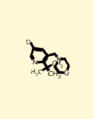 CC(C)(C)c1ncc(Cl)cc1CN1CCOCC1